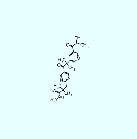 CC(C)C(=O)c1cncc(C(C)(C)C(=O)c2cnc(CC(C)(C)C(=N)NO)nc2)c1